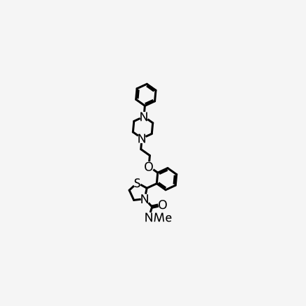 CNC(=O)N1CCSC1c1ccccc1OCCN1CCN(c2ccccc2)CC1